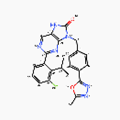 Cc1nnc(-c2ccc(Cn3c(=O)[nH]c4cnc(-c5cccc(F)c5C(C)C)nc43)cc2)o1